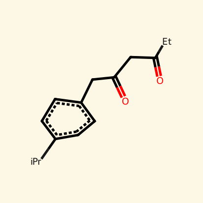 CCC(=O)CC(=O)Cc1ccc(C(C)C)cc1